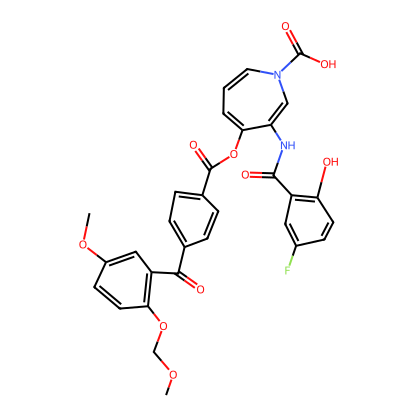 COCOc1ccc(OC)cc1C(=O)c1ccc(C(=O)OC2=CC=CN(C(=O)O)C=C2NC(=O)c2cc(F)ccc2O)cc1